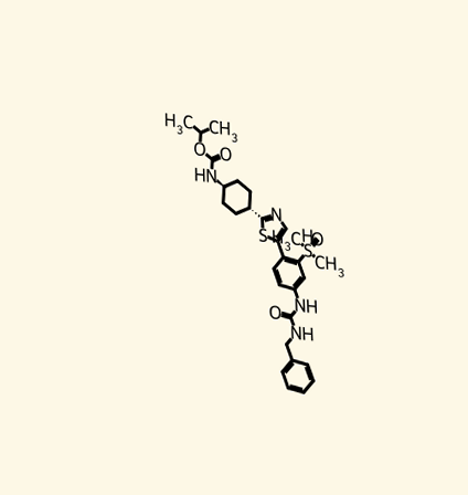 CC(C)OC(=O)N[C@H]1CC[C@H](c2ncc(-c3ccc(NC(=O)NCc4ccccc4)cc3[SH](C)(C)=O)s2)CC1